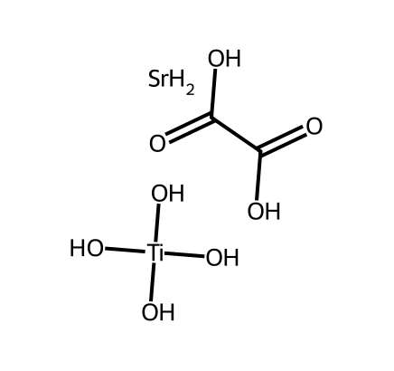 O=C(O)C(=O)O.[OH][Ti]([OH])([OH])[OH].[SrH2]